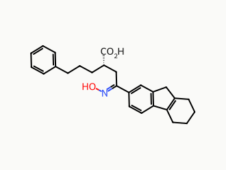 O=C(O)[C@@H](CCCc1ccccc1)CC(=NO)c1ccc2c(c1)CC1=C2CCCC1